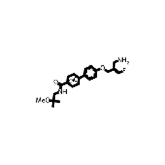 COC(C)(C)CNC(=O)C12CCC(c3ccc(OCC(=CF)CN)cc3)(CC1)CC2